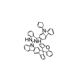 C1=CCCC(n2c3ccccc3c3ccc(C4NC(n5c6ccccc6c6cc7c(cc65)C5(c6ccccc6Oc6ccccc65)c5ccccc5-7)Nc5ccccc54)cc32)=C1